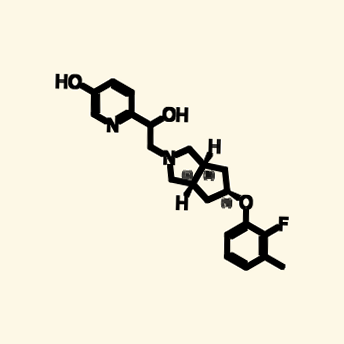 Cc1cccc(O[C@H]2C[C@@H]3CN(CC(O)c4ccc(O)cn4)C[C@@H]3C2)c1F